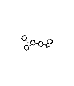 c1ccc(-n2c3ccccc3c3cc(-c4ccc(-n5nnc6ccccc65)cc4)ccc32)cc1